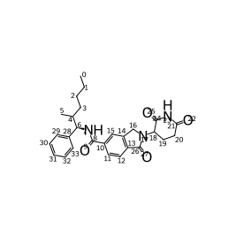 CCCCC(C)[C@@H](NC(=O)c1ccc2c(c1)CN(C1CCC(=O)NC1=O)C2=O)c1ccccc1